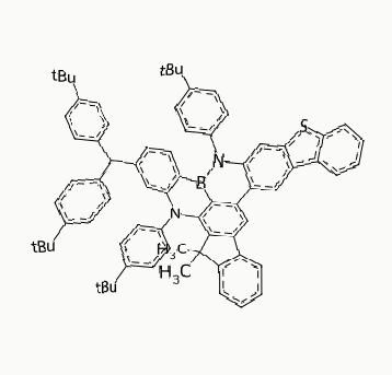 CC(C)(C)c1ccc(C(c2ccc(C(C)(C)C)cc2)c2ccc3c(c2)N(c2ccc(C(C)(C)C)cc2)c2c4c(cc5c2C(C)(C)c2ccccc2-5)-c2cc5c(cc2N(c2ccc(C(C)(C)C)cc2)B34)sc2ccccc25)cc1